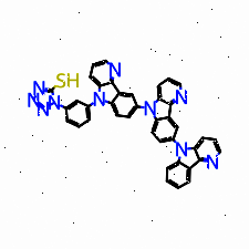 Sc1nnnn1-c1cccc(-n2c3ccc(-n4c5ccc(-n6c7ccccc7c7ncccc76)cc5c5ncccc54)cc3c3ncccc32)c1